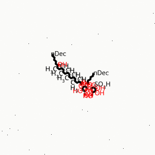 CCCCCCCCCCCCCCCC(=O)O[C@H]1[C@@H](O[C@H]2O[C@H](CO)[C@@H](O)[C@H](O)[C@H]2OS(=O)(=O)O)O[C@H](CO)[C@@H](O)[C@@H]1OC(=O)[C@@H](C)C[C@@H](C)C[C@@H](C)C[C@@H](C)C[C@@H](C)C[C@@H](C)C[C@@H](C)C[C@@H](C)C(O)CCCCCCCCCCCCCCC